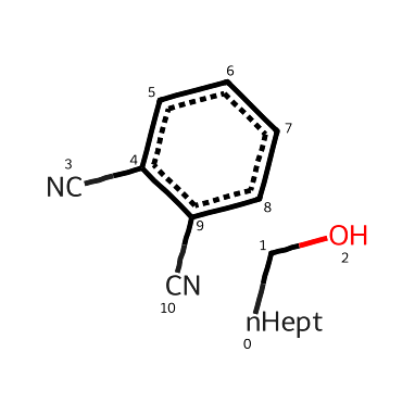 CCCCCCCCO.N#Cc1ccccc1C#N